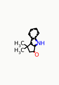 CC1(C)CC(=O)c2[nH]c3ccccc3c21